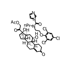 CC(=O)OCC(=O)[C@@]1(O)CC[C@H]2[C@@H]3CCC4=CC(=O)CC[C@]4(C)[C@H]3[C@@H](O)C[C@@]21C.CCCN(CCOc1c(Cl)cc(Cl)cc1Cl)C(=O)n1ccnc1